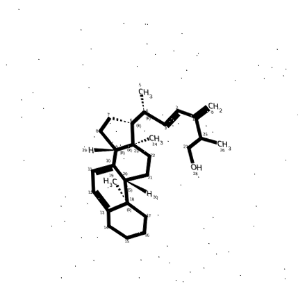 C=C(C=C[C@@H](C)[C@H]1CC[C@H]2C3=CC=C4CCCC[C@]4(C)[C@H]3CC[C@]12C)C(C)CO